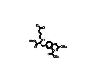 CCC(=O)OCCN[C@@H](Cc1ccc(OC(=O)OCC(C)C)c(OC(=O)OCC(C)C)c1)C(=O)OC